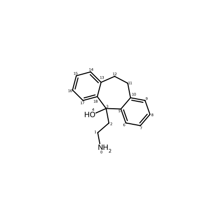 NCCC1(O)c2ccccc2CCc2ccccc21